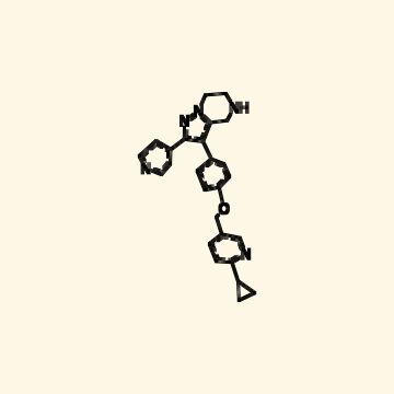 c1cc(-c2nn3c(c2-c2ccc(OCc4ccc(C5CC5)nc4)cc2)CNCC3)ccn1